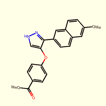 COC(=O)c1ccc(Oc2c[nH]nc2-c2ccc3cc(OC)ccc3c2)cc1